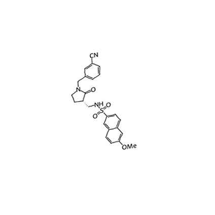 COc1ccc2cc(S(=O)(=O)NC[C@@H]3CCN(Cc4cccc(C#N)c4)C3=O)ccc2c1